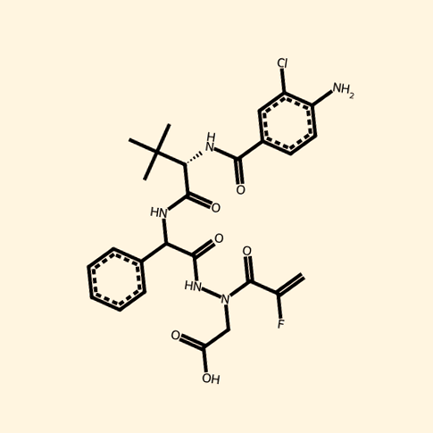 C=C(F)C(=O)N(CC(=O)O)NC(=O)C(NC(=O)[C@@H](NC(=O)c1ccc(N)c(Cl)c1)C(C)(C)C)c1ccccc1